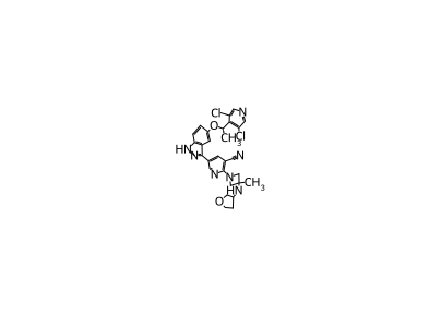 C[C@@H](Oc1ccc2[nH]nc(-c3cnc(N4CC(C)(N[C@H]5CCOC5)C4)c(C#N)c3)c2c1)c1c(Cl)cncc1Cl